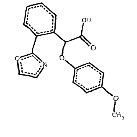 COc1ccc(OC(C(=O)O)c2ccccc2-c2ncco2)cc1